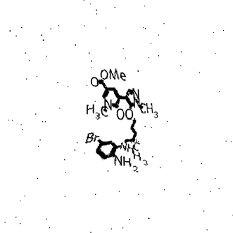 COC(=O)c1cc(-c2cnn(C)c2OCCC[C@@H](C)CNc2cc(Br)ccc2N)c(=O)n(C)c1